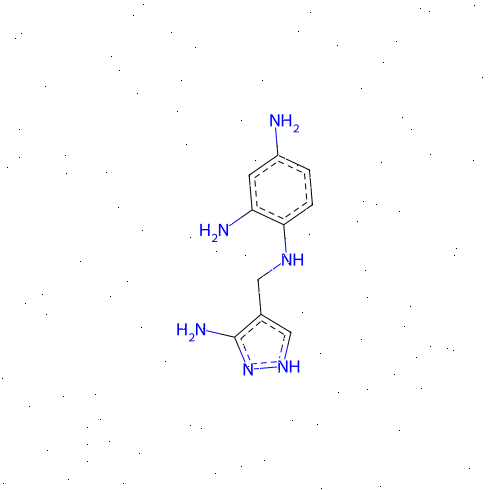 Nc1ccc(NCc2c[nH]nc2N)c(N)c1